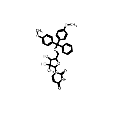 COc1ccc(C(OCC2OC(n3ccc(=O)[nH]c3=O)C(C)(O)C2O)(c2ccccc2)c2ccc(OC)cc2)cc1